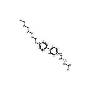 CCCCCCCCCc1cnc(-c2ccc(OCOCCC)cc2)nc1